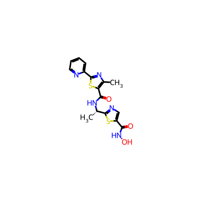 Cc1nc(-c2ccccn2)sc1C(=O)N[C@@H](C)c1ncc(C(=O)NO)s1